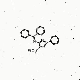 CCOC(=O)c1cn(-c2ccccc2)nc1N=C(c1ccccc1)c1ccccc1